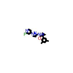 Cc1cc(C)cc(C2(C(=O)Nc3ccn(-c4ccnc(F)c4)n3)CC2)c1